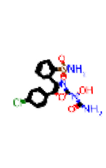 NC(=O)N(O)c1nc(-c2ccccc2S(N)(=O)=O)c(-c2ccc(Cl)cc2)o1